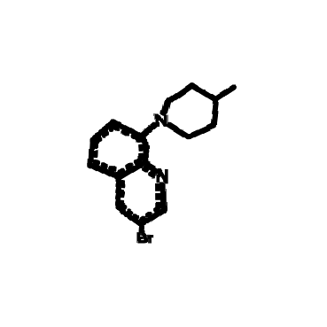 CC1CCN(c2cccc3cc(Br)cnc23)CC1